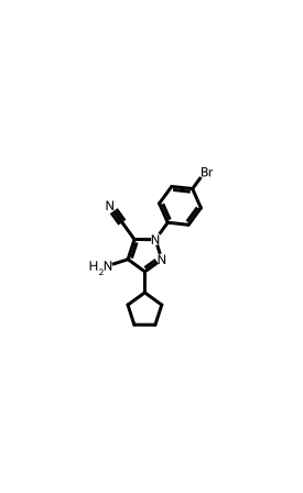 N#Cc1c(N)c(C2CCCC2)nn1-c1ccc(Br)cc1